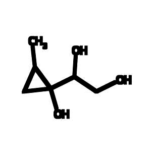 CC1CC1(O)C(O)CO